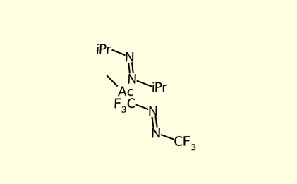 CC(C)=O.CC(C)N=NC(C)C.FC(F)(F)N=NC(F)(F)F